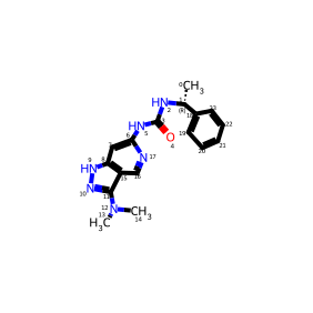 C[C@@H](NC(=O)Nc1cc2[nH]nc(N(C)C)c2cn1)c1ccccc1